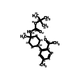 CC(=O)c1ncc(C)cc1N1CCC(C)(NC(=O)OC(C)(C)C)CC1